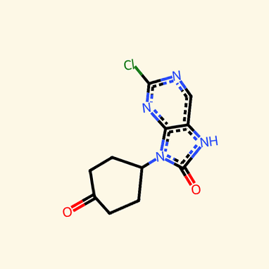 O=C1CCC(n2c(=O)[nH]c3cnc(Cl)nc32)CC1